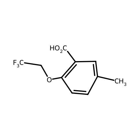 Cc1ccc(OCC(F)(F)F)c(C(=O)O)c1